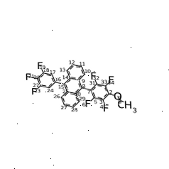 COc1c(F)c(F)c(-c2c3ccccc3c(-c3cc(F)c(F)c(F)c3)c3ccccc23)c(F)c1F